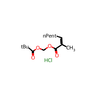 CCCCCC=C(C)C(=O)OCOC(=O)C(C)(C)C.Cl